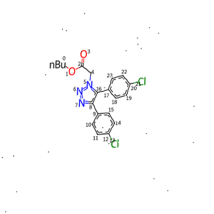 CCCCOC(=O)Cn1nnc(-c2ccc(Cl)cc2)c1-c1ccc(Cl)cc1